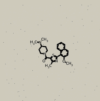 COc1ccc2ccccc2c1-c1nc(C)c(C(=O)N2CCC(N(C)C)CC2)s1